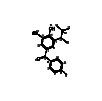 Cc1ccc(C(=O)c2cc(C(C)N(C)C)c(O)c(C(C)(C)C)c2)cc1